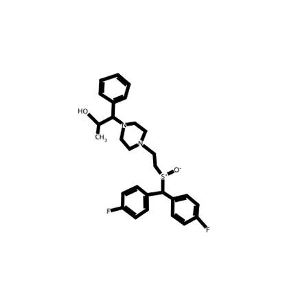 CC(O)C(c1ccccc1)N1CCN(CC[S+]([O-])C(c2ccc(F)cc2)c2ccc(F)cc2)CC1